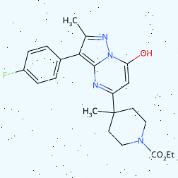 CCOC(=O)N1CCC(C)(c2cc(O)n3nc(C)c(-c4ccc(F)cc4)c3n2)CC1